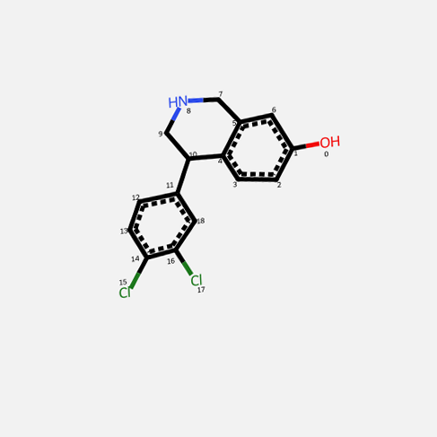 Oc1ccc2c(c1)CNCC2c1ccc(Cl)c(Cl)c1